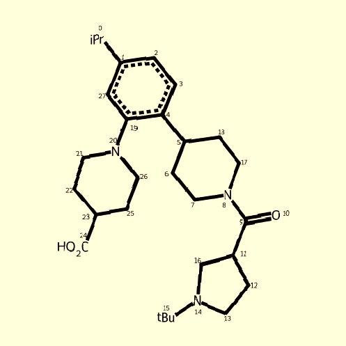 CC(C)c1ccc(C2CCN(C(=O)C3CCN(C(C)(C)C)C3)CC2)c(N2CCC(C(=O)O)CC2)c1